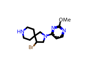 COc1nccc(N2CC(Br)C3(CCNCC3)C2)n1